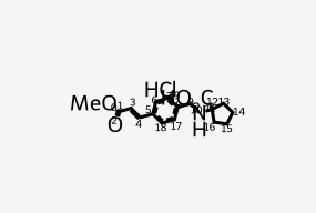 COC(=O)C=Cc1ccc(CNC2(C(=O)O)CCCC2)cc1.Cl